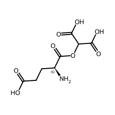 N[C@@H](CCC(=O)O)C(=O)OC(C(=O)O)C(=O)O